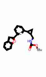 CC(C)(C)OC(=O)NCC1CC1c1cccc(-c2cc3ccccc3o2)c1